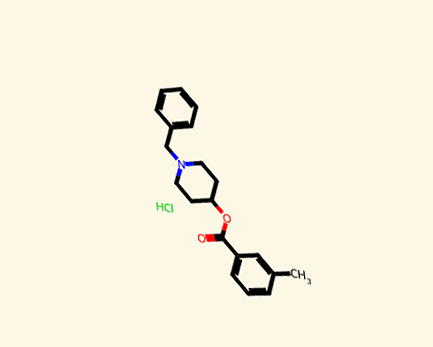 Cc1cccc(C(=O)OC2CCN(Cc3ccccc3)CC2)c1.Cl